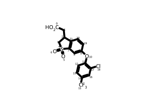 O=C(O)CC1CS(=O)(=O)c2cc(Oc3ccc(C(F)(F)F)cc3Cl)ccc21